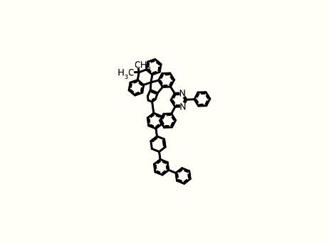 CC1(C)c2ccccc2C2(C3=C(C=C(c4ccc(C5=CCC(c6cccc(-c7ccccc7)c6)C=C5)cc4)CC3)c3c(-c4cc(-c5ccccc5)nc(-c5ccccc5)n4)cccc32)c2ccccc21